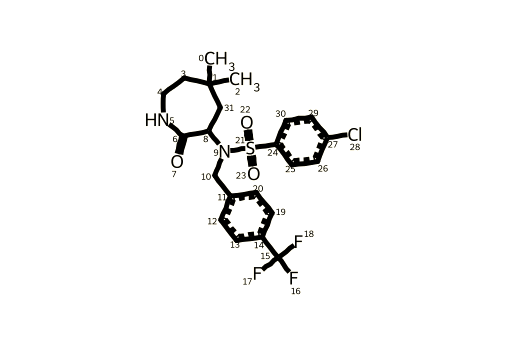 CC1(C)CCNC(=O)C(N(Cc2ccc(C(F)(F)F)cc2)S(=O)(=O)c2ccc(Cl)cc2)C1